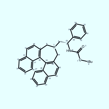 CC(C)(C)OC(=O)N[C@H](CP1Cc2ccc3ccccc3c2-c2c(ccc3ccccc23)C1)c1ccccc1